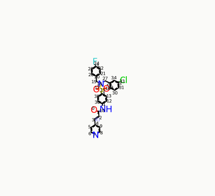 O=C(/C=C/c1ccncc1)Nc1ccc(S(=O)(=O)N(Cc2ccc(F)cc2)Cc2cccc(Cl)c2)cc1